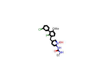 CCNC(=O)Nc1ccc(Cc2ccc(OC)c(-c3cccc(Cl)c3)c2F)c[n+]1O